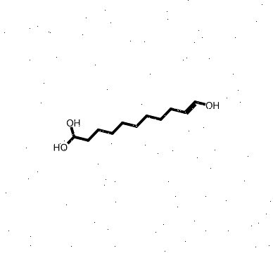 OC=CCCCCCCCCC(O)O